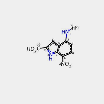 CCCNc1ccc([N+](=O)[O-])c2[nH]c(C(=O)O)cc12